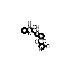 O=c1[nH]c2ccccc2nc1-c1cc2cc(Oc3c(Cl)cncc3Cl)ccc2[nH]1